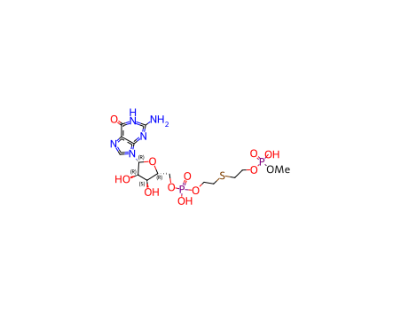 COP(=O)(O)OCCSCCOP(=O)(O)OC[C@H]1O[C@@H](n2cnc3c(=O)[nH]c(N)nc32)[C@H](O)[C@@H]1O